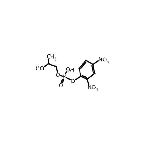 CC(O)COP(=O)(O)Oc1ccc([N+](=O)[O-])cc1[N+](=O)[O-]